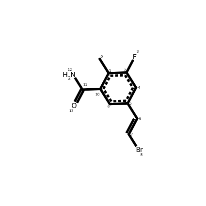 Cc1c(F)cc(C=CBr)cc1C(N)=O